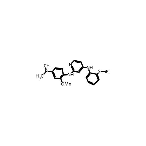 COc1cc(P(C)C)ccc1Nc1cc(Nc2ccccc2SC(C)C)ccn1